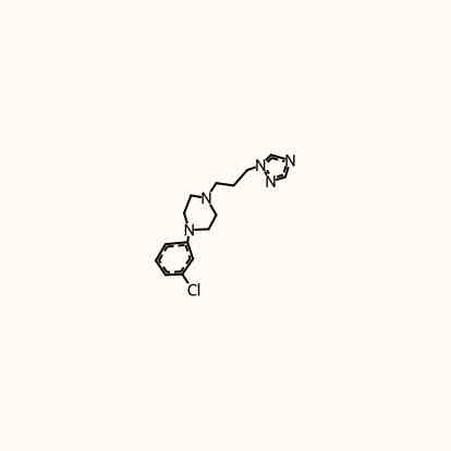 Clc1cccc(N2CCN(CCCn3cncn3)CC2)c1